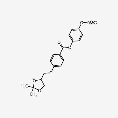 CCCCCCCCOc1ccc(OC(=O)c2ccc(OCC3COC(C)(C)O3)cc2)cc1